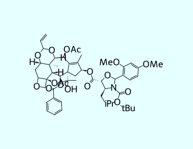 C=CC1O[C@H]2CC3OC[C@@]3(OC(C)=O)[C@H]3[C@H](OC(=O)c4ccccc4)[C@]4(C(C)(C)O)C[C@H](OC(=O)[C@@H]5OC(c6ccc(OC)cc6OC)N(C(=O)OC(C)(C)C)[C@H]5CC(C)C)C(C)=C4[C@H](OC(C)=O)[C@H](O1)[C@]23C